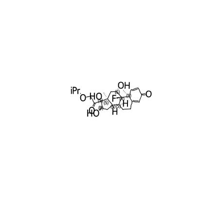 CC(C)OCC(=O)[C@@]1(O)[C@H](O)C[C@H]2[C@@H]3CCC4=CC(=O)C=C[C@]4(C)[C@@]3(F)[C@@H](O)C[C@@]21C